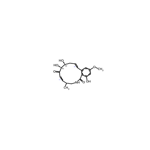 COc1cc(O)c2c(c1)/C=C/C[C@H](O)[C@H](O)C(=O)/C=C\C(C)CNC2=O